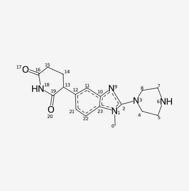 Cn1c(N2CCNCC2)nc2cc(C3CCC(=O)NC3=O)ccc21